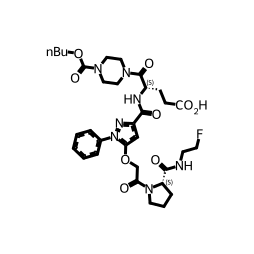 CCCCOC(=O)N1CCN(C(=O)[C@H](CCC(=O)O)NC(=O)c2cc(OCC(=O)N3CCC[C@H]3C(=O)NCCF)n(-c3ccccc3)n2)CC1